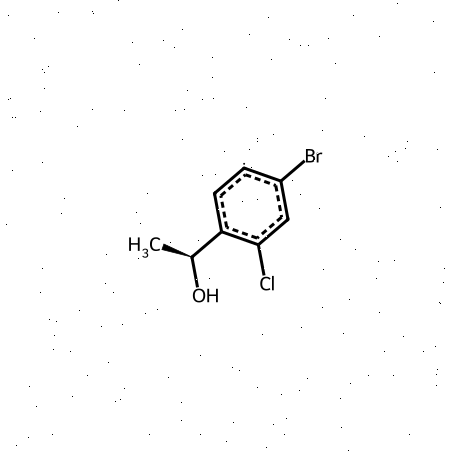 C[C@H](O)c1c[c]c(Br)cc1Cl